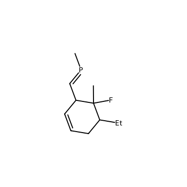 CCC1CC=CC(C=PC)C1(C)F